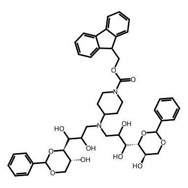 O=C(OCC1c2ccccc2-c2ccccc21)N1CCC(N(CC(O)C(O)[C@@H]2OC(c3ccccc3)OC[C@H]2O)CC(O)C(O)[C@@H]2OC(c3ccccc3)OC[C@H]2O)CC1